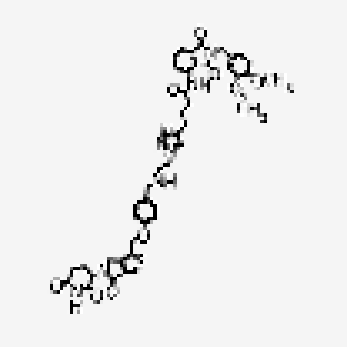 CCOc1cc(CN2C(=O)c3cccc(NC(=O)CCCc4cn(CCNCc5ccc(OCc6scc7c6CN(C6CCC(=O)NC6=O)C7=O)cc5)nn4)c3C2=O)ccc1OC